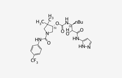 CCCC[C@H](NC(=O)O[C@@H]1CN(C(=O)Nc2ccc(C(F)(F)F)cc2)CC1(C)C)C(O)C(=O)Nc1ccn[nH]1